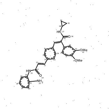 COc1ccc(/C(=C\c2ccc(/C=C/C(=O)Nc3ccccc3N)cc2)C(=O)NC2CC2)cc1OC